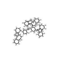 c1cc(-c2cccc3oc4c5ccccc5ccc4c23)cc(N(c2ccc(-n3c4ccccc4c4ccccc43)cc2)c2cccc3oc4c5ccccc5ccc4c23)c1